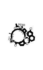 CC(=O)N[C@@]1(CO)CCC[C@H](C)[C@@H](C)S(=O)(=O)NC(=O)c2ccc3c(c2)N(C[C@@H]2CC[C@H]21)C[C@@]1(CCCc2cc(Cl)ccc21)CO3